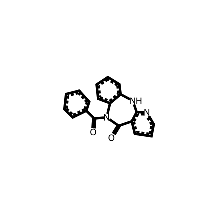 O=C(c1ccccc1)N1C(=O)c2cccnc2Nc2ccccc21